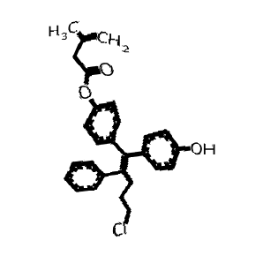 C=C(C)CC(=O)Oc1ccc(/C(=C(/CCCCl)c2ccccc2)c2ccc(O)cc2)cc1